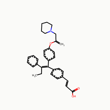 C=C(CN1CCCCC1)Oc1ccc(/C(=C(/CC)c2ccccc2)c2ccc(/C=C/C(=O)O)cc2)cc1